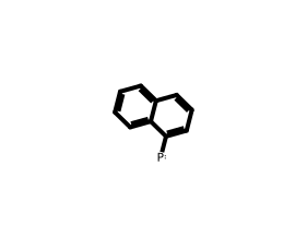 [P]c1cccc2ccccc12